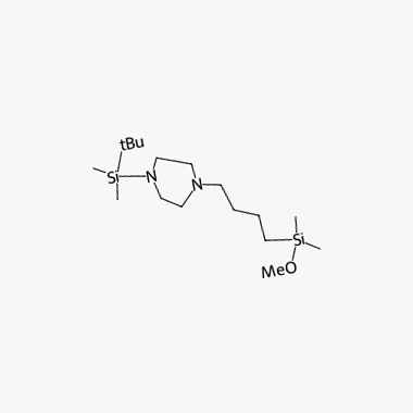 CO[Si](C)(C)CCCCN1CCN([Si](C)(C)C(C)(C)C)CC1